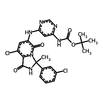 CC(C)(C)OC(=O)Nc1cc(Nc2cc(Cl)c3n(c2=O)C(C)(c2cccc(Cl)c2)NC3=O)ncn1